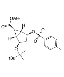 COC(=O)[C@@H]1[C@@H]2[C@H]1[C@@H](OS(=O)(=O)c1ccc(C)cc1)C[C@H]2O[Si](C)(C)C(C)(C)C